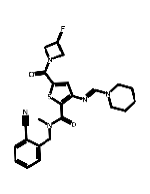 CN(Cc1ccccc1C#N)C(=O)c1sc(C(=O)N2CC(F)C2)cc1/N=C/N1CCCCC1